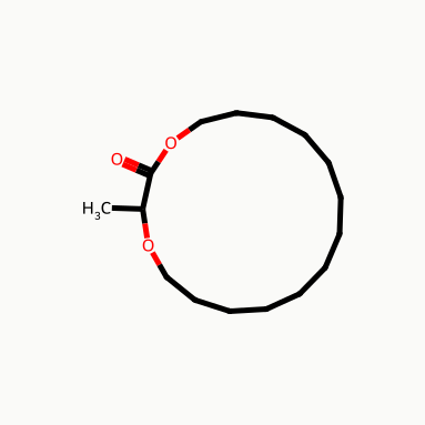 CC1OCCCCCCCCCCCCCOC1=O